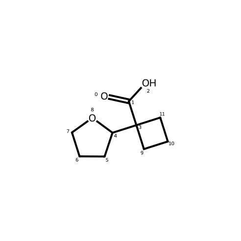 O=C(O)C1(C2CCCO2)CCC1